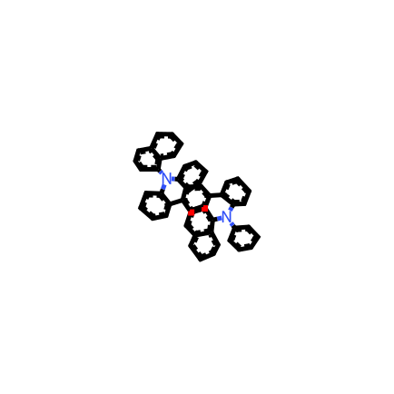 c1ccc(N(c2ccccc2-c2ccc(-c3ccccc3N(c3ccccc3)c3cccc4ccccc34)cc2)c2cccc3ccccc23)cc1